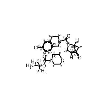 CC(C)(C)OC(=O)N1CCOC[C@H]1c1cc(Cl)cc2c1CN(C(=O)N1C[C@@H]3C[C@H]1CC3=O)CC2